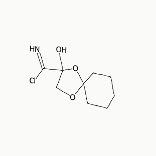 N=C(Cl)C1(O)COC2(CCCCC2)O1